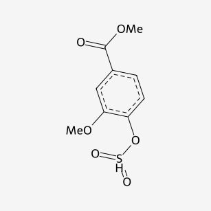 COC(=O)c1ccc(O[SH](=O)=O)c(OC)c1